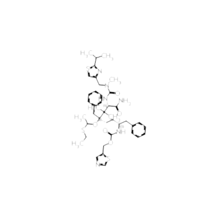 CCSC(C)O[C@@](CC[C@@H](Cc1ccccc1)NC(=O)OCc1cncs1)(Cc1ccccc1)C(C)(C)[C@H](NC(=O)N(C)Cc1csc(C(C)C)n1)C(N)=O